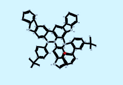 CC(C)(C)c1ccc(N2B3c4cc5occc5cc4N(c4ccc(C(C)(C)C)cc4-c4ccccc4)c4c3c(cc3c4oc4ccccc43)-c3cc4c(cc32)sc2ccccc24)cc1